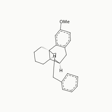 COc1ccc2c(c1)[C@]13CCCC[C@@H]1[C@H](C2)C(Cc1ccccc1)CC3